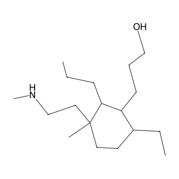 CCCC1C(CCCO)C(CC)CCC1(C)CCNC